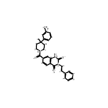 CC1(c2cccc(C(F)(F)F)c2)CCN(C(=O)c2ccc3c(=O)n(CCc4ccccc4)c(=O)[nH]c3c2)CC1